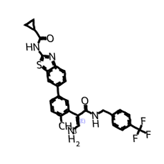 Cc1ccc(-c2ccc3nc(NC(=O)C4CC4)sc3c2)cc1/C(=C\N)C(=O)NCc1ccc(C(F)(F)F)cc1